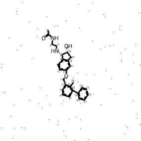 CC(=O)NCCN[C@H]1c2ccc(OCc3cccc(-c4ccccc4)c3C)cc2C[C@H]1O